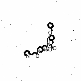 COC(=O)[C@H](Cc1ccc(OCc2ccccc2)cc1)NC(=O)CC1CCN(C(=O)CCc2ccccn2)CC1